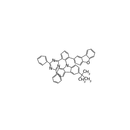 CC(C)(C)c1ccc2c(c1)c1ccccc1n2-c1c(-c2ccc3oc4ccccc4c3c2)cccc1-c1nc(-c2ccccc2)nc(-c2ccccc2)n1